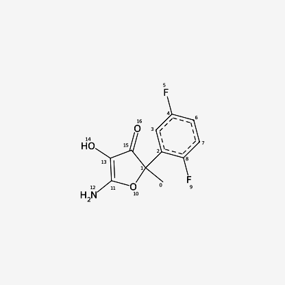 CC1(c2cc(F)ccc2F)OC(N)=C(O)C1=O